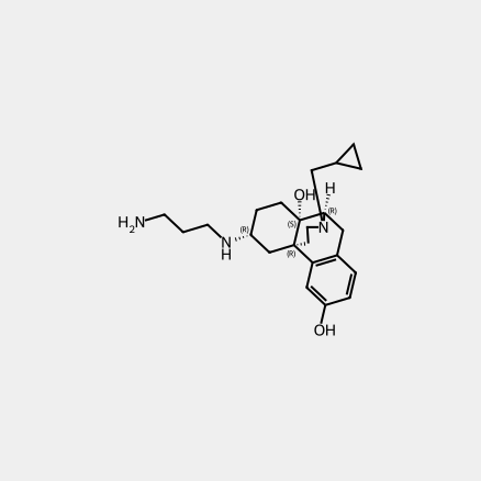 NCCCN[C@@H]1CC[C@@]2(O)[C@H]3Cc4ccc(O)cc4[C@@]2(CCN3CC2CC2)C1